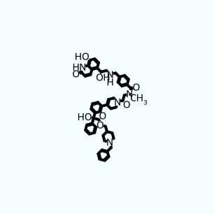 CN(CC(=O)N1CC=C(c2cccc(C(O)(C(=O)OCC3CCN(Cc4ccccc4)CC3)c3ccccc3)c2)CC1)C(=O)c1ccc(CNC[C@H](O)c2ccc(O)c3[nH]c(=O)ccc23)cc1